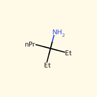 [CH2]CCC(N)(CC)CC